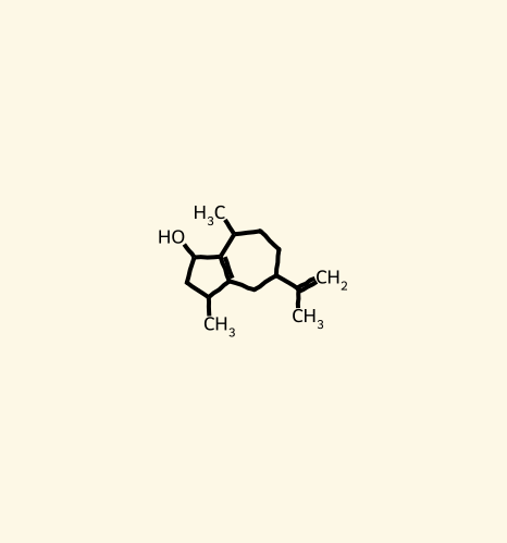 C=C(C)C1CCC(C)C2=C(C1)C(C)CC2O